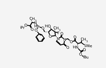 CCC(C)OC(=O)N[C@H](C(=O)OCn1c(=O)ccn([C@@H]2O[C@H](COP(N[C@@H](C)C(=O)OC(C)C)Oc3ccccc3)[C@@H](O)[C@@]2(C)F)c1=O)C(C)SC